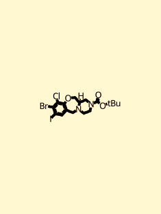 CC(C)(C)OC(=O)N1CCN2Cc3cc(I)c(Br)c(Cl)c3OC[C@H]2C1